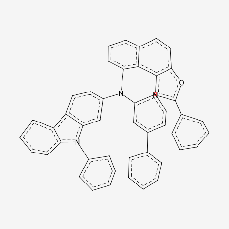 c1ccc(-c2cccc(N(c3ccc4c5ccccc5n(-c5ccccc5)c4c3)c3cccc4ccc5oc(-c6ccccc6)nc5c34)c2)cc1